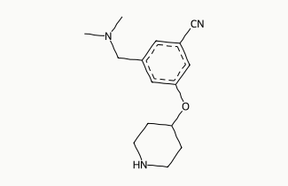 CN(C)Cc1cc(C#N)cc(OC2CCNCC2)c1